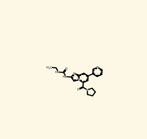 CCNC(=O)Nc1cn2c(C(=O)N3CCCC3)cc(-c3cccnc3)cc2n1